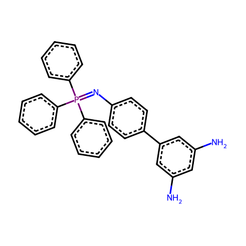 Nc1cc(N)cc(-c2ccc(N=P(c3ccccc3)(c3ccccc3)c3ccccc3)cc2)c1